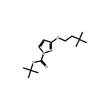 CC(C)(C)CCOc1ccn(C(=O)OC(C)(C)C)n1